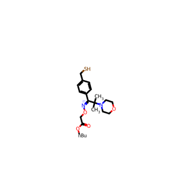 CCCCOC(=O)CO/N=C(/c1ccc(CS)cc1)C(C)(C)N1CCOCC1